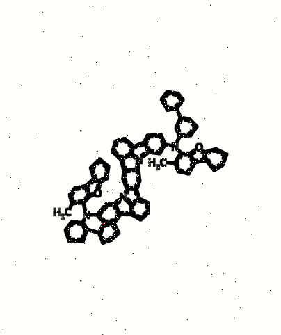 Cc1ccc2c(oc3ccccc32)c1N(c1cccc(-c2ccccc2)c1)c1ccc2c3cccc4c5cc6c(cc5n(c2c1)c34)c1cccc2c3ccc(N(c4ccccc4-c4ccccc4)c4c(C)ccc5c4oc4ccccc45)cc3n6c21